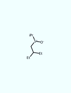 CCC(CC)C[S+]([O-])C(C)C